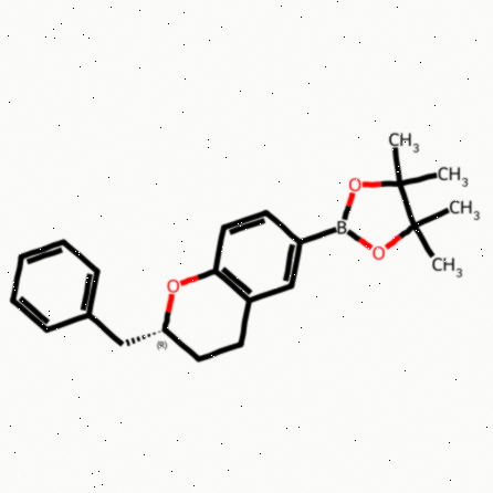 CC1(C)OB(c2ccc3c(c2)CC[C@H](Cc2ccccc2)O3)OC1(C)C